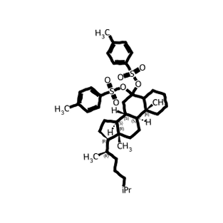 Cc1ccc(S(=O)(=O)OC2(OS(=O)(=O)c3ccc(C)cc3)C[C@H]3[C@@H]4CC[C@H]([C@H](C)CCCC(C)C)[C@@]4(C)CC[C@@H]3[C@@]3(C)CCCCC23)cc1